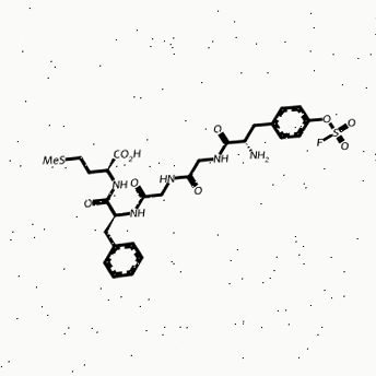 CSCC[C@H](NC(=O)[C@H](Cc1ccccc1)NC(=O)CNC(=O)CNC(=O)[C@@H](N)Cc1ccc(OS(=O)(=O)F)cc1)C(=O)O